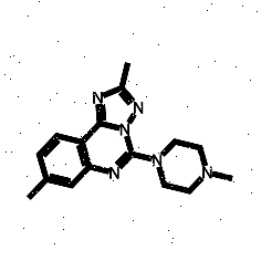 Cc1ccc2c(c1)nc(N1CCN(C)CC1)n1nc(C)nc21